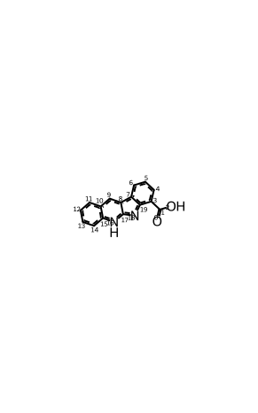 O=C(O)c1cccc2c3cc4ccccc4[nH]c-3nc12